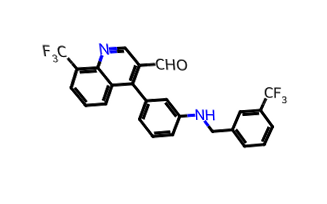 O=Cc1cnc2c(C(F)(F)F)cccc2c1-c1cccc(NCc2cccc(C(F)(F)F)c2)c1